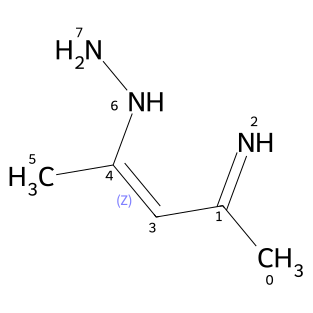 CC(=N)/C=C(/C)NN